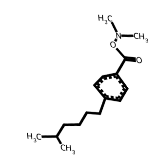 CC(C)CCCCc1ccc(C(=O)ON(C)C)cc1